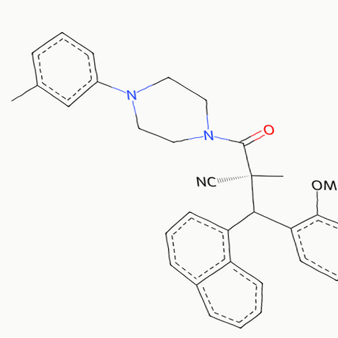 COc1ccccc1C(c1cccc2ccccc12)[C@@](C)(C#N)C(=O)N1CCN(c2cccc(C(C)C)c2)CC1